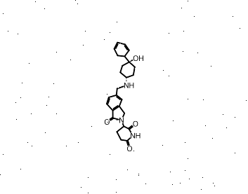 O=C1CCC(N2Cc3cc(CN[C@H]4CC[C@@](O)(C5C=CC=CC5)CC4)ccc3C2=O)C(=O)N1